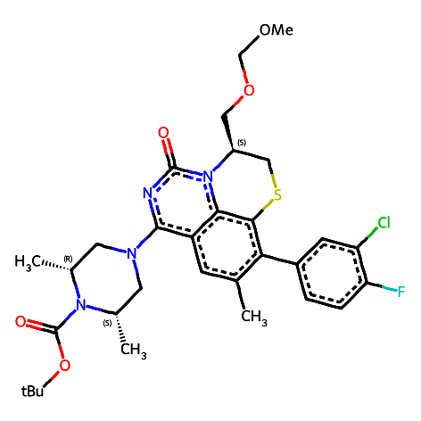 COCOC[C@H]1CSc2c(-c3ccc(F)c(Cl)c3)c(C)cc3c(N4C[C@@H](C)N(C(=O)OC(C)(C)C)[C@@H](C)C4)nc(=O)n1c23